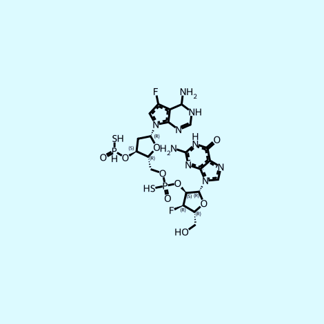 Nc1nc2c(ncn2[C@@H]2O[C@H](CO)[C@@H](F)[C@H]2OP(=O)(S)OC[C@H]2O[C@@H](n3cc(F)c4c3N=CNC4N)C[C@@H]2O[PH](=O)S)c(=O)[nH]1